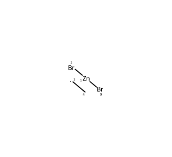 [Br][Zn][Br].[CH2]C